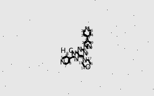 Cn1c(-c2ccncc2)nc2c(N3CCOCC3)nc(-n3cc(-c4ccncc4)cn3)nc21